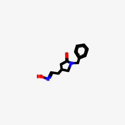 O=C1CC(CC=NO)CN1Cc1ccccc1